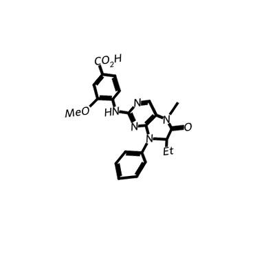 CCC1C(=O)N(C)c2cnc(Nc3ccc(C(=O)O)cc3OC)nc2N1c1ccccc1